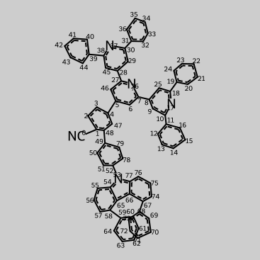 N#Cc1ccc(-c2cc(-c3cc(-c4ccccc4)nc(-c4ccccc4)c3)nc(-c3cc(-c4ccccc4)nc(-c4ccccc4)c3)c2)cc1-c1ccc(-n2c3cccc(-c4ccccc4)c3c3c(-c4ccccc4)cccc32)cc1